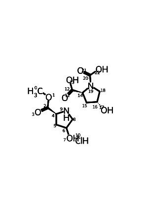 COC(=O)[C@@H]1CC(O)CN1.Cl.O=C(O)[C@@H]1C[C@@H](O)CN1C(=O)O